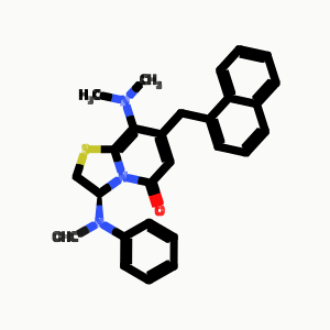 CN(C)c1c(Cc2cccc3ccccc23)cc(=O)n2c1SC[C@@H]2N(C=O)c1ccccc1